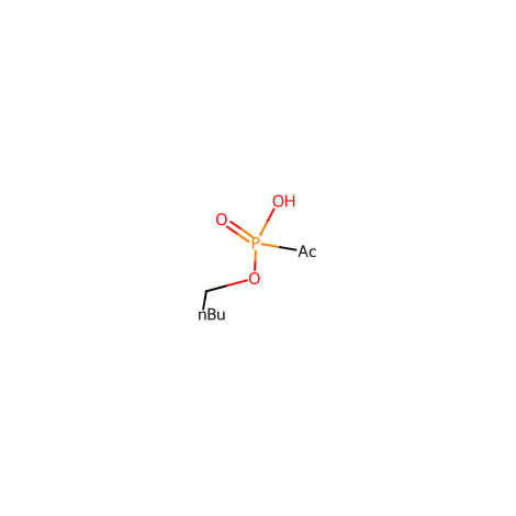 CCCCCOP(=O)(O)C(C)=O